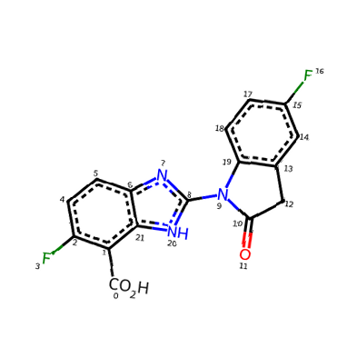 O=C(O)c1c(F)ccc2nc(N3C(=O)Cc4cc(F)ccc43)[nH]c12